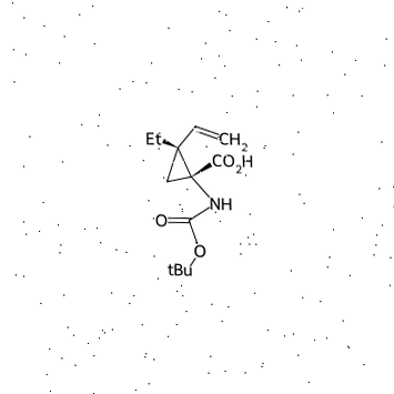 C=C[C@@]1(CC)C[C@]1(NC(=O)OC(C)(C)C)C(=O)O